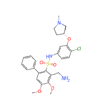 COc1cc(-c2ccccc2)c(S(=O)(=O)Nc2ccc(Cl)c(O[C@@H]3CCN(C)C3)c2)c(CN)c1OC